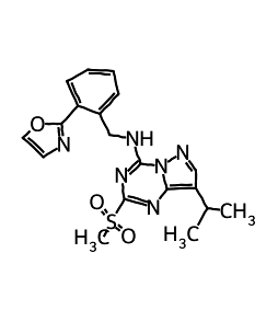 CC(C)c1cnn2c(NCc3ccccc3-c3ncco3)nc(S(C)(=O)=O)nc12